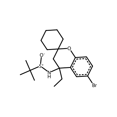 CCC1(N[S+]([O-])C(C)(C)C)CC2(CCCCC2)Oc2ccc(Br)cc21